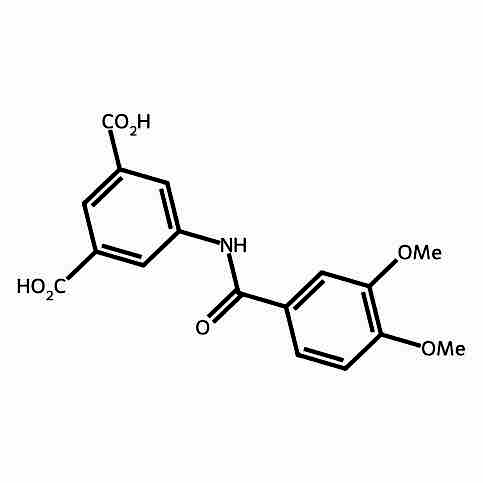 COc1ccc(C(=O)Nc2cc(C(=O)O)cc(C(=O)O)c2)cc1OC